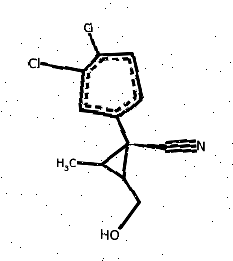 CC1C(CO)[C@@]1(C#N)c1ccc(Cl)c(Cl)c1